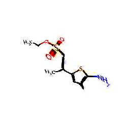 CCOS(=O)(=O)/C=C(\C)c1ccc(N)s1